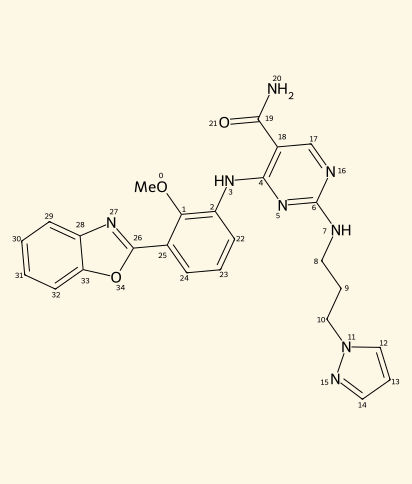 COc1c(Nc2nc(NCCCn3cccn3)ncc2C(N)=O)cccc1-c1nc2ccccc2o1